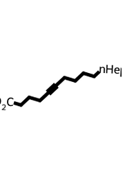 CCCCCCCCCCCC#CCCCC(=O)O